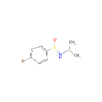 CC(C)N[S+]([O-])c1ccc(Br)cc1